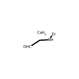 CCNCC=O.[CaH2]